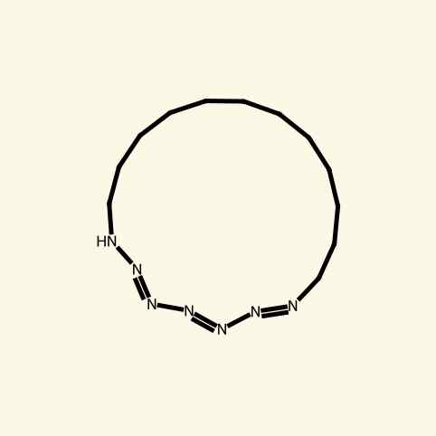 C1CCCCCCN/N=N/N=N/N=N/CCCCC1